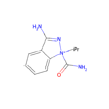 CC(C)[N+]1(C(N)=O)N=C(N)c2c[c]ccc21